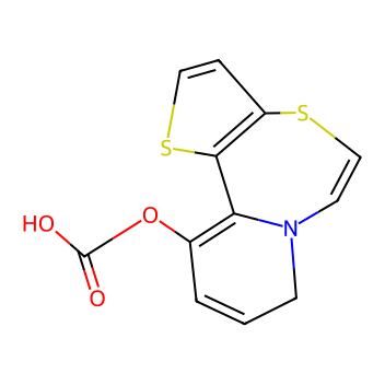 O=C(O)OC1=C2c3sccc3SC=CN2CC=C1